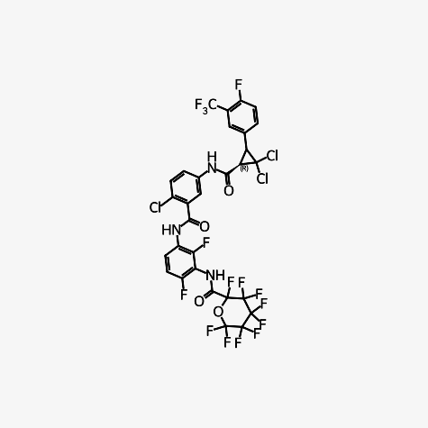 O=C(Nc1ccc(F)c(NC(=O)C2(F)OC(F)(F)C(F)(F)C(F)(F)C2(F)F)c1F)c1cc(NC(=O)[C@H]2C(c3ccc(F)c(C(F)(F)F)c3)C2(Cl)Cl)ccc1Cl